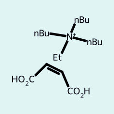 CCCC[N+](CC)(CCCC)CCCC.O=C(O)/C=C\C(=O)O